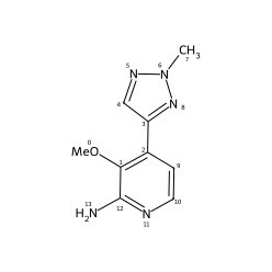 COc1c(-c2cnn(C)n2)ccnc1N